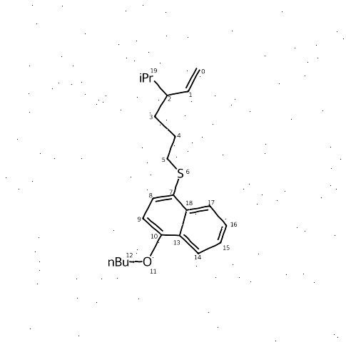 C=CC(CCCSc1ccc(OCCCC)c2ccccc12)C(C)C